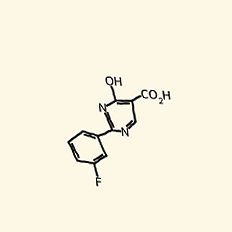 O=C(O)c1cnc(-c2cccc(F)c2)nc1O